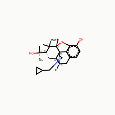 COC1(C)[C@@H]([C@](C)(O)C(C)(C)C)C[C@]2(C)[C@H]3Cc4ccc(O)c5c4[C@@]2(CCN3CC2CC2)[C@H]1O5